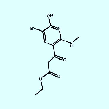 CCOC(=O)CC(=O)c1cc(Br)c(O)nc1NC